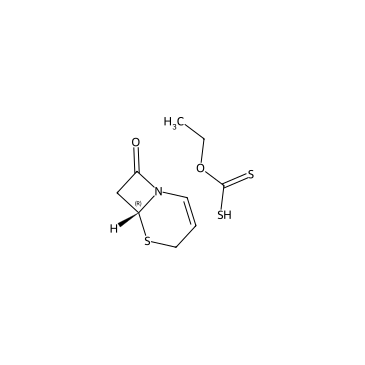 CCOC(=S)S.O=C1C[C@H]2SCC=CN12